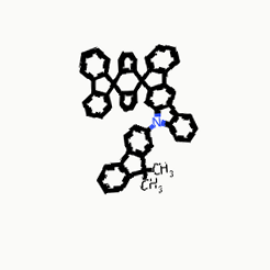 CC1(C)c2ccccc2-c2ccc(-n3c4ccccc4c4cc5c(cc43)C3(c4ccccc4-5)c4ccccc4C4(c5ccccc5-c5ccccc54)c4ccccc43)cc21